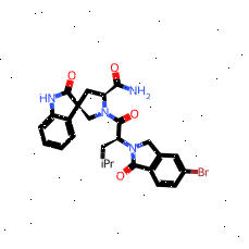 CC(C)C[C@@H](C(=O)N1C[C@]2(C[C@H]1C(N)=O)C(=O)Nc1ccccc12)N1Cc2cc(Br)ccc2C1=O